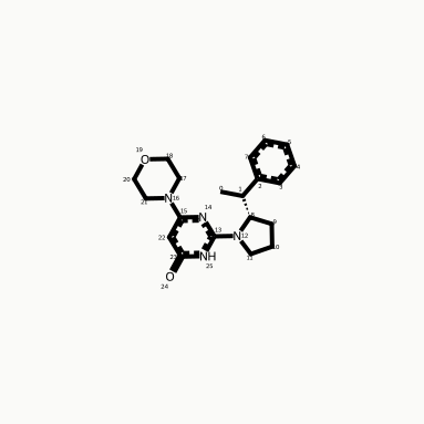 CC(c1ccccc1)[C@@H]1CCCN1c1nc(N2CCOCC2)cc(=O)[nH]1